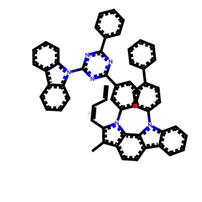 C=C/C=C\c1c(C)c2ccc3c4ccccc4n(-c4ccc(-c5ccccc5)cc4)c3c2n1-c1cccc(-c2nc(-c3ccccc3)nc(-n3c4ccccc4c4ccccc43)n2)c1